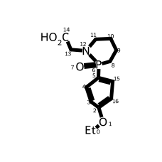 CCOc1ccc(P2(=O)CCCCN2CC(=O)O)cc1